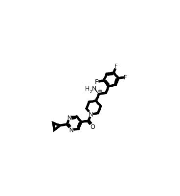 N[C@H](Cc1cc(F)c(F)cc1F)C1CCN(C(=O)c2cnc(C3CC3)nc2)CC1